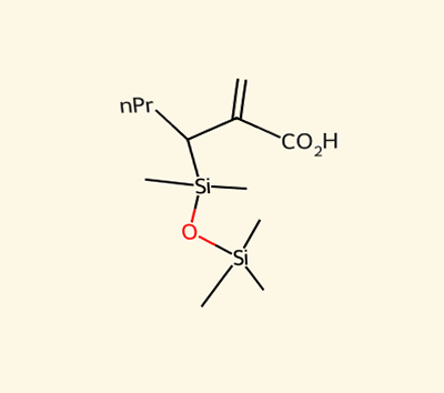 C=C(C(=O)O)C(CCC)[Si](C)(C)O[Si](C)(C)C